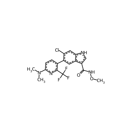 CONC(=O)c1c[nH]c2cc(Cl)c(-c3ccc(N(C)C)nc3C(F)(F)F)cc12